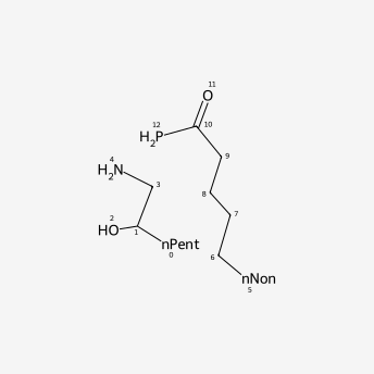 CCCCCC(O)CN.CCCCCCCCCCCCCC(=O)P